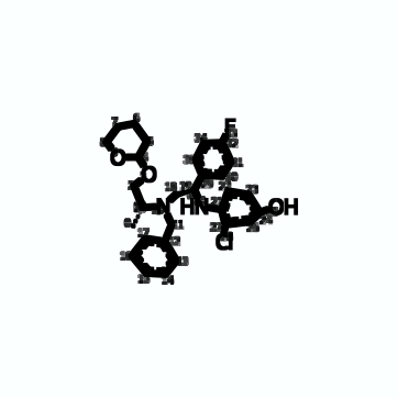 C[C@H](COC1CCCCO1)N(Cc1ccccc1)C[C@H](Nc1ccc(O)cc1Cl)c1ccc(F)cc1